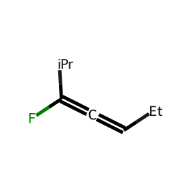 [CH2]CC=C=C(F)C(C)C